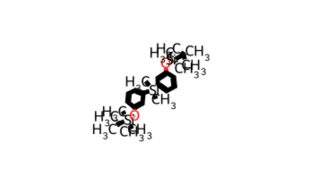 CC(C)(C)[Si](C)(C)Oc1cccc([Si](C)(C)c2cccc(O[Si](C)(C)C(C)(C)C)c2)c1